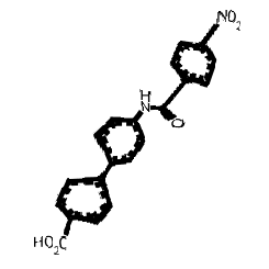 O=C(O)c1ccc(-c2ccc(NC(=O)c3ccc([N+](=O)[O-])cc3)cc2)cc1